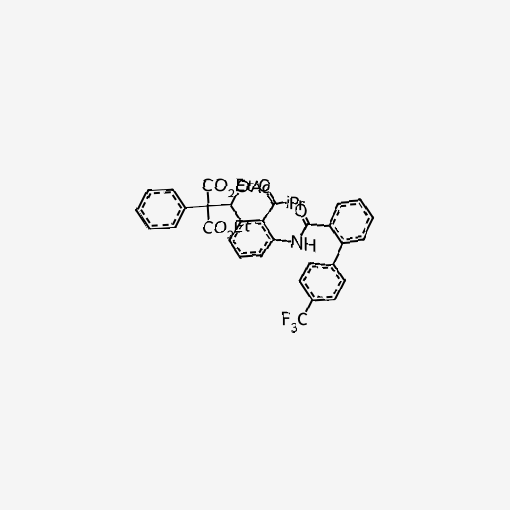 CCOC(=O)C(C(=O)OCC)(c1ccccc1)C(OC(C)=O)c1cccc(NC(=O)c2ccccc2-c2ccc(C(F)(F)F)cc2)c1C(=O)C(C)C